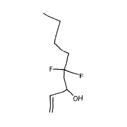 C=CC(O)C(F)(F)CCCC